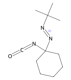 CC(C)(C)/N=N/C1(N=C=O)CCCCC1